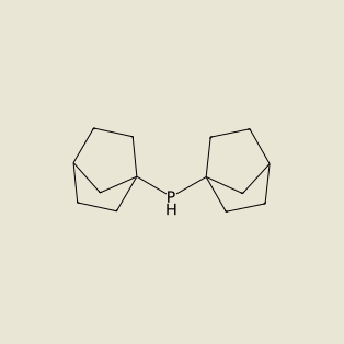 C1CC2(PC34CCC(CC3)C4)CCC1C2